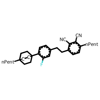 CCCCCc1ccc(CCc2ccc(C34CCC(CCCCC)(CC3)CC4)c(F)c2)c(C#N)c1C#N